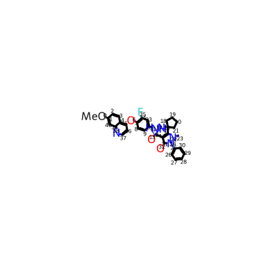 COc1ccc2c(Oc3ccc(NC(=O)c4c(C5(N)CCCC5)n(C)n(-c5ccccc5)c4=O)cc3F)ccnc2c1